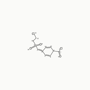 O=C(Cl)C1C=CC(=CS(=O)(=O)CCCl)C=C1